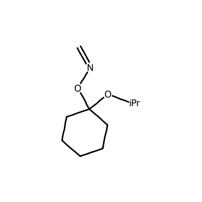 C=NOC1(OC(C)C)CCCCC1